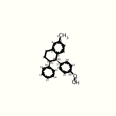 Cc1ccc2c(c1)CC[C@H](c1ccccc1)[C@@H]2c1ccc(OO)cc1